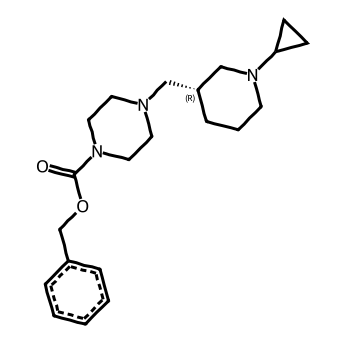 O=C(OCc1ccccc1)N1CCN(C[C@H]2CCCN(C3CC3)C2)CC1